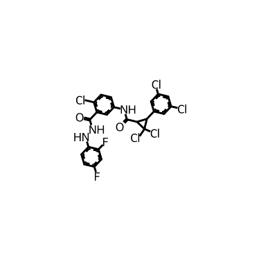 O=C(NNc1ccc(F)cc1F)c1cc(NC(=O)C2C(c3cc(Cl)cc(Cl)c3)C2(Cl)Cl)ccc1Cl